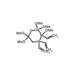 C=C[Si]1(C=C)CC(OC)(OC)O[Si](OC)(OC)[Si]1(C=C)OC